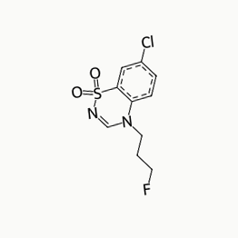 O=S1(=O)N=CN(CCCF)c2ccc(Cl)cc21